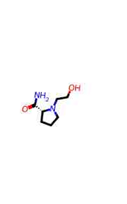 NC(=O)[C@H]1CCCN1CCO